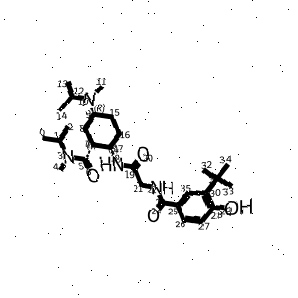 CC(C)N(C)C(=O)[C@@H]1C[C@H](N(C)C(C)C)CC[C@@H]1NC(=O)CNC(=O)c1ccc(O)c(C(C)(C)C)c1